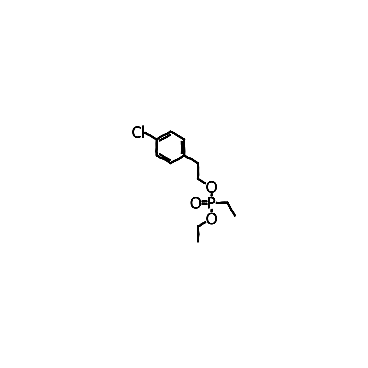 CCOP(=O)(CC)OCCc1ccc(Cl)cc1